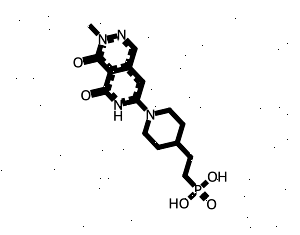 Cn1ncc2cc(N3CCC(CCP(=O)(O)O)CC3)[nH]c(=O)c2c1=O